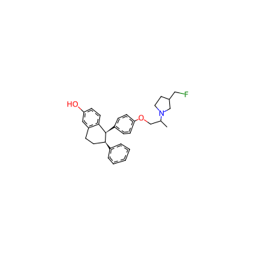 CC(COc1ccc([C@@H]2c3ccc(O)cc3CC[C@@H]2c2ccccc2)cc1)N1CCC(CF)C1